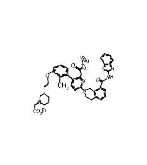 CCOC(=O)CN1CCC[C@@H](CCOc2cccc(-c3ccc(N4CCc5cccc(C(=O)Nc6nc7ccccc7s6)c5C4)nc3C(=O)OC(C)(C)C)c2C)C1